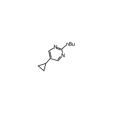 CCCCc1ncc(C2CC2)cn1